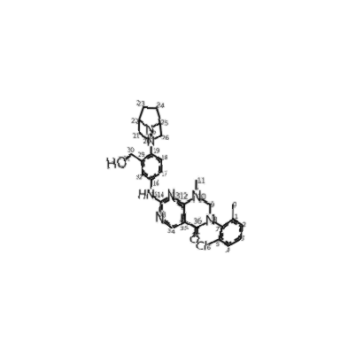 Cc1cccc(Cl)c1N1CN(C)c2nc(Nc3ccc(N4CC5CCC(C4)N5C)c(CO)c3)ncc2C1=O